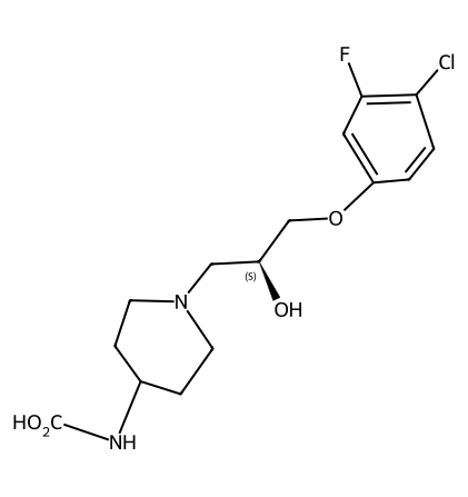 O=C(O)NC1CCN(C[C@H](O)COc2ccc(Cl)c(F)c2)CC1